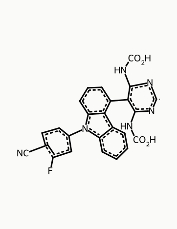 N#Cc1ccc(-n2c3ccccc3c3c(-c4c(NC(=O)O)n[c]nc4NC(=O)O)cccc32)cc1F